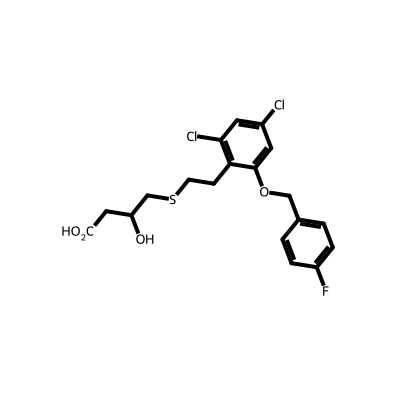 O=C(O)CC(O)CSCCc1c(Cl)cc(Cl)cc1OCc1ccc(F)cc1